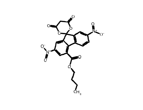 CCCCOC(=O)c1cc([N+](=O)[O-])cc2c1-c1ccc([N+](=O)[O-])cc1C21OC(=O)CC(=O)O1